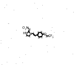 O=[N+]([O-])N=C1NCCN1C=Cc1ccc(OCC(F)(F)F)cc1